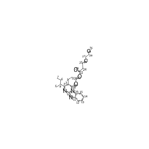 CCc1c(C(C)CC)nc2nc3ccccc3n2c1OCOC(=O)CCOCCOC